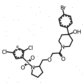 O=C(COCC1CCCN1S(=O)(=O)c1cc(Cl)sc1Cl)N1CCC(O)(c2ccc(Br)cc2)CC1